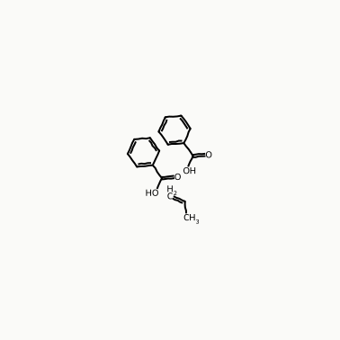 C=CC.O=C(O)c1ccccc1.O=C(O)c1ccccc1